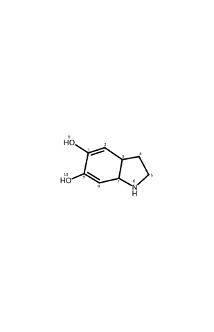 OC1=CC2CCNC2C=C1O